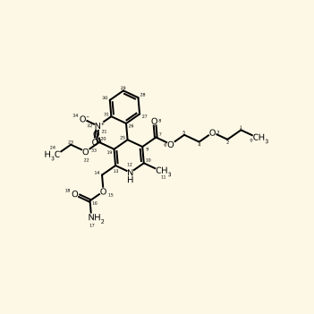 CCCOCCOC(=O)C1=C(C)NC(COC(N)=O)=C(C(=O)OCC)C1c1ccccc1[N+](=O)[O-]